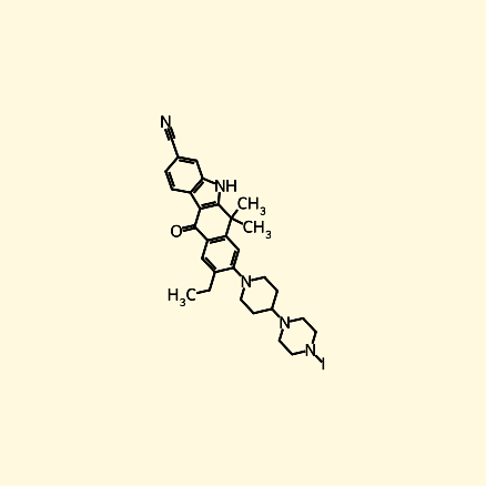 CCc1cc2c(cc1N1CCC(N3CCN(I)CC3)CC1)C(C)(C)c1[nH]c3cc(C#N)ccc3c1C2=O